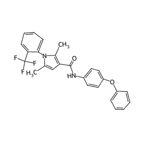 Cc1cc(C(=O)Nc2ccc(Oc3ccccc3)cc2)c(C)n1-c1ccccc1C(F)(F)F